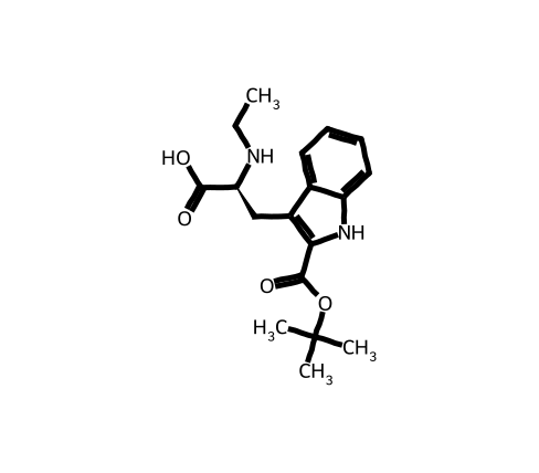 CCN[C@@H](Cc1c(C(=O)OC(C)(C)C)[nH]c2ccccc12)C(=O)O